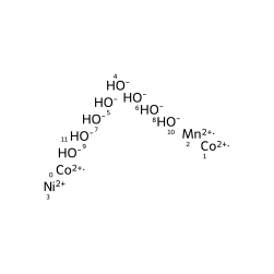 [Co+2].[Co+2].[Mn+2].[Ni+2].[OH-].[OH-].[OH-].[OH-].[OH-].[OH-].[OH-].[OH-]